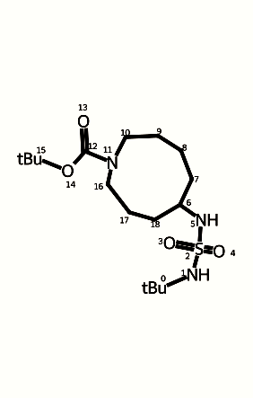 CC(C)(C)NS(=O)(=O)NC1CCCCN(C(=O)OC(C)(C)C)CCC1